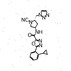 N#CN1C[C@H](NC(=O)c2nnc(-c3ccccc3C3CC3)o2)C[C@H]1Cn1ccnn1